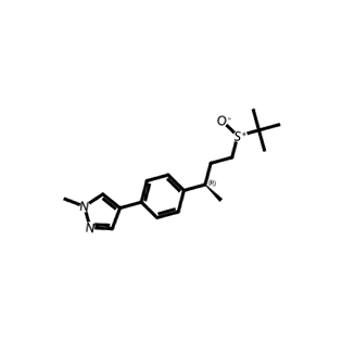 C[C@H](CC[S+]([O-])C(C)(C)C)c1ccc(-c2cnn(C)c2)cc1